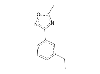 CCc1cccc(-c2noc(C)n2)c1